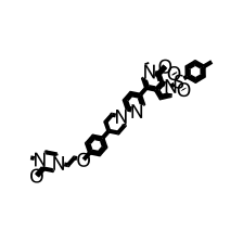 Cc1ccc(S(=O)(=O)n2ccc3c(-c4ccc(N5CCC(c6ccc(OCCN7CCN(C)C(=O)C7)cc6)CC5)nc4)cn(C)c(=O)c32)cc1